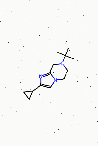 CC(C)(C)N1CCn2cc(C3CC3)nc2C1